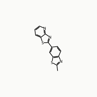 Cc1nc2ccc(-c3nc4ncccc4s3)cc2s1